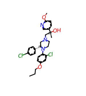 CCCOc1ccc(N2CCN(C[C@@](C)(O)c3ccc(OC)nc3)C[C@H]2c2ccc(Cl)cc2)c(Cl)c1